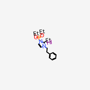 CCOP(OCC)N1C=CN(CCc2ccccc2)C1CC.I